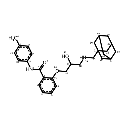 Cc1ccc(NC(=O)c2ccccc2OCC(O)CNCC23CC4CC(CC(C4)C2)C3)cc1